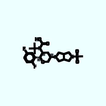 CC(C)(C)N(C(=O)O)[C@H]1C[C@@H](N2CC3CN(S(C)(=O)=O)CC3C2)CO[C@@H]1c1cc(F)ccc1F